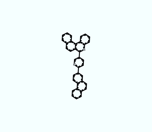 c1ccc2c(c1)ccc1cc(-c3ccc(-c4nc5ccccc5c5c4ccc4ccccc45)cn3)ccc12